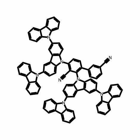 N#Cc1cccc(-c2ccc(-n3c4ccc(-n5c6ccccc6c6ccccc65)cc4c4cc(-n5c6ccccc6c6ccccc65)ccc43)c(C#N)c2-n2c3ccc(-n4c5ccccc5c5ccccc54)cc3c3cc(-n4c5ccccc5c5ccccc54)ccc32)c1